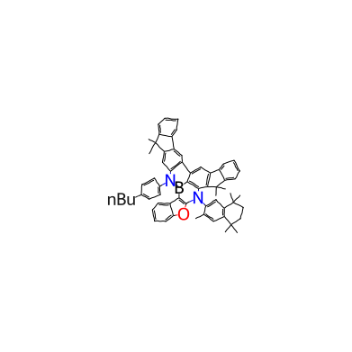 CCCCc1ccc(N2B3c4c(cc5c(c4N(c4cc6c(cc4C)C(C)(C)CCC6(C)C)c4oc6ccccc6c43)C(C)(C)c3ccccc3-5)-c3cc4c(cc32)C(C)(C)c2ccccc2-4)cc1